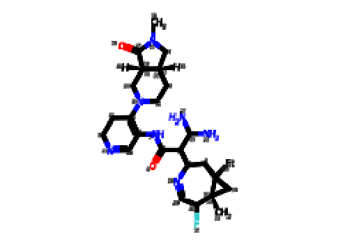 CCC12CC(C(C(=O)NC3=C(N4CC[C@H]5CN(C)C(=O)[C@H]5C4)CCN=C3)C(N)N)N=CC(F)[C@@]1(C)C2